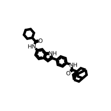 O=C(Nc1ccc2cc(-c3ccc(NC(=O)C45CC6CC(CC(C6)C4)C5)cc3)[nH]c2c1)C1CCCCC1